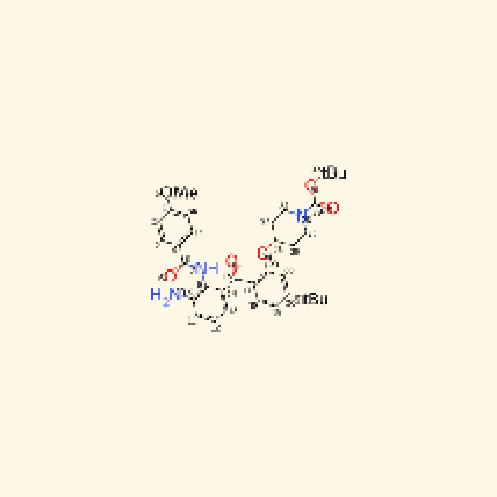 COc1ccc(C(=O)Nc2c(N)cccc2C(=O)c2ccc(C(C)(C)C)cc2OC2CCN(C(=O)OC(C)(C)C)CC2)cc1